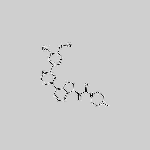 CC(C)Oc1ccc(C2=NCC=C(c3cccc4c3CC[C@H]4NC(=O)N3CCN(C)CC3)S2)cc1C#N